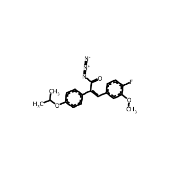 COc1cc(C=C(C(=O)N=[N+]=[N-])c2ccc(OC(C)C)cc2)ccc1F